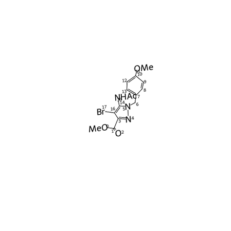 COC(=O)c1nn(Cc2ccc(OC)cc2)c(NC(C)=O)c1Br